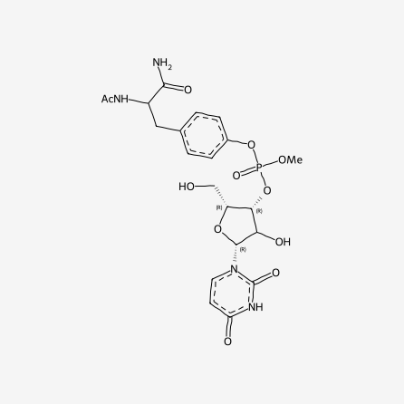 COP(=O)(Oc1ccc(CC(NC(C)=O)C(N)=O)cc1)O[C@@H]1C(O)[C@H](n2ccc(=O)[nH]c2=O)O[C@@H]1CO